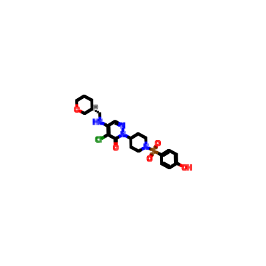 O=c1c(Cl)c(NC[C@H]2CCCOC2)cnn1C1CCN(S(=O)(=O)c2ccc(O)cc2)CC1